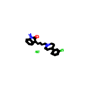 Cl.O=C1Nc2ccccc2C1CCCCN1CC=C(c2cccc(Cl)c2)CC1